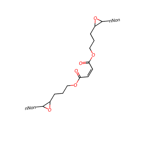 CCCCCCCCCC1OC1CCCOC(=O)/C=C\C(=O)OCCCC1OC1CCCCCCCCC